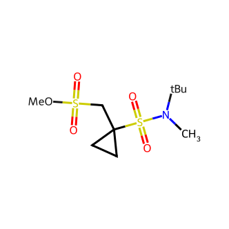 COS(=O)(=O)CC1(S(=O)(=O)N(C)C(C)(C)C)CC1